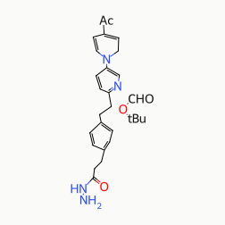 CC(=O)C1=CCN(c2ccc(CCc3ccc(CCC(=O)NN)cc3)nc2)C=C1.CC(C)(C)OC=O